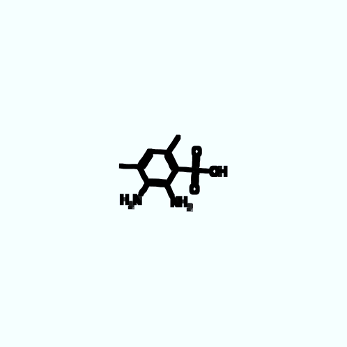 Cc1cc(C)c(S(=O)(=O)O)c(N)c1N